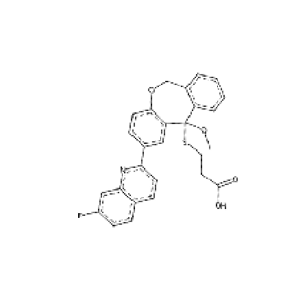 COC1(SCCC(=O)O)c2ccccc2COc2ccc(-c3ccc4ccc(F)cc4n3)cc21